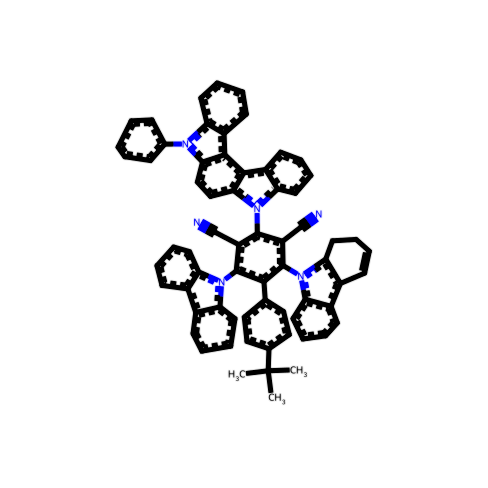 CC(C)(C)c1ccc(-c2c(-n3c4c(c5ccccc53)C=CCC4)c(C#N)c(-n3c4ccccc4c4c5c6ccccc6n(-c6ccccc6)c5ccc43)c(C#N)c2-n2c3ccccc3c3ccccc32)cc1